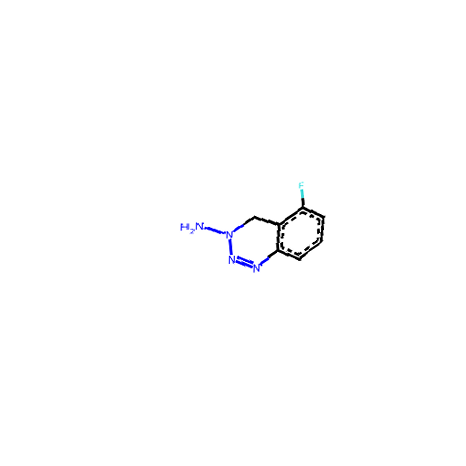 NN1Cc2c(F)cccc2N=N1